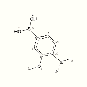 COc1cc(B(O)O)ccc1C(C)C